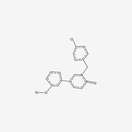 CCOc1cccc(-c2ccc(=O)n(Cc3ccc(Cl)cc3)c2)c1